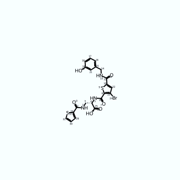 O=C(NC[C@H](NC(=O)c1sc(C(=O)NCc2cccc(O)c2)cc1Br)C(=O)O)c1cccs1